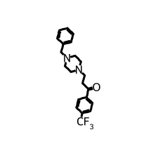 O=C(CCN1CCN(Cc2ccccc2)CC1)c1ccc(C(F)(F)F)cc1